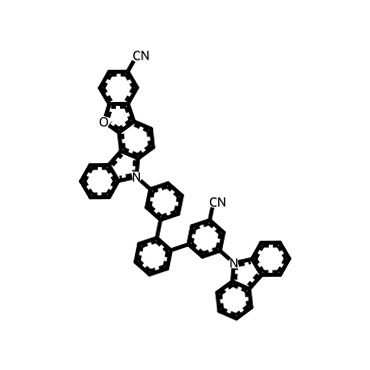 N#Cc1cc(-c2ccccc2-c2cccc(-n3c4ccccc4c4c5oc6ccc(C#N)cc6c5ccc43)c2)cc(-n2c3ccccc3c3ccccc32)c1